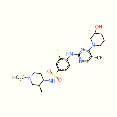 C[C@H]1CN(C(=O)O)CC[C@H]1NS(=O)(=O)c1ccc(Nc2ncc(C(F)(F)F)c(N3CCC[C@](C)(O)C3)n2)c(F)c1